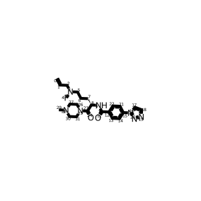 C=CCN(F)CCC[C@H](NC(=O)c1ccc(-n2ccnn2)cc1)C(=O)N1CCN(C)CC1